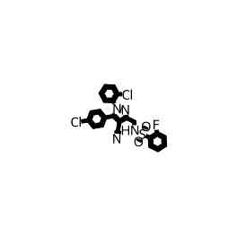 N#Cc1c(CNS(=O)(=O)c2ccccc2F)nn(-c2ccccc2Cl)c1-c1ccc(Cl)cc1